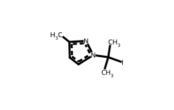 Cc1ccn(C(C)(C)I)n1